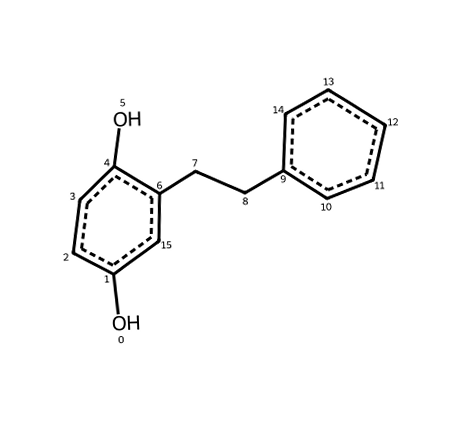 Oc1ccc(O)c(CCc2ccccc2)c1